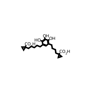 O=C(O)C1(CCCCCc2cc(CCCCC3(C(=O)O)CC3)c(O)c(O)c2O)CC1